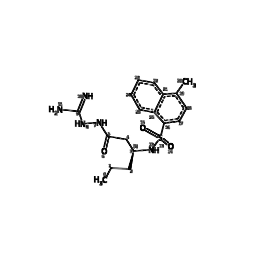 CCC[C@@H](CC(=O)NNC(=N)N)NS(=O)(=O)c1ccc(C)c2ccccc12